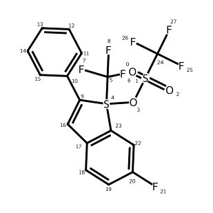 O=S(=O)(OS1(C(F)(F)F)C(c2ccccc2)=Cc2ccc(F)cc21)C(F)(F)F